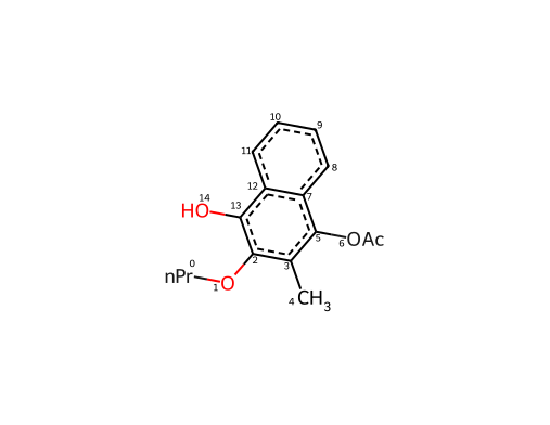 CCCOc1c(C)c(OC(C)=O)c2ccccc2c1O